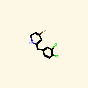 Clc1ccc(CC2=CC(Br)=CCN2)cc1Cl